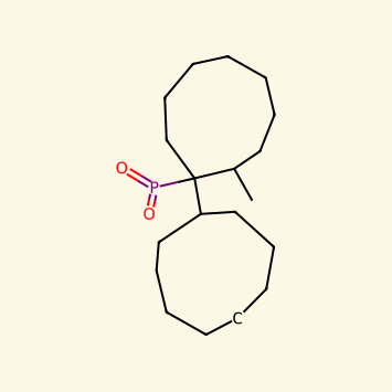 CC1CCCCCCCC1(C1CCCCCCCC1)P(=O)=O